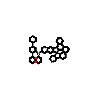 c1ccc(-c2ccc(-c3ccccc3)c(N(c3ccccc3)c3ccc4cc5c(cc4c3)C3(c4ccccc4-c4ccccc43)c3c-5c4ccccc4c4ccccc34)c2)cc1